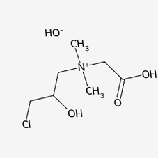 C[N+](C)(CC(=O)O)CC(O)CCl.[OH-]